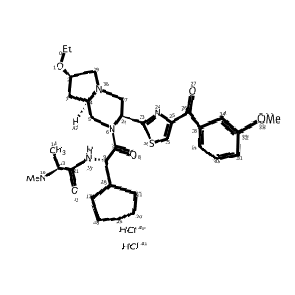 CCO[C@@H]1C[C@@H]2CN(C(=O)[C@@H](NC(=O)[C@H](C)NC)C3CCCCC3)[C@H](c3nc(C(=O)c4cccc(OC)c4)cs3)CN2C1.Cl.Cl